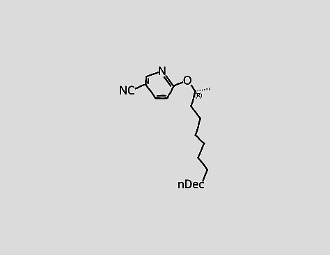 CCCCCCCCCCCCCCCC[C@@H](C)Oc1ccc(C#N)cn1